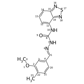 COc1cc(/C=N/NC(=O)Nc2cccc3nsnc23)ccc1C